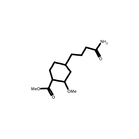 COC(=O)C1CCC(CCCC(N)=O)CC1OC